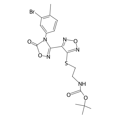 Cc1ccc(-n2c(-c3nonc3SCCNC(=O)OC(C)(C)C)noc2=O)cc1Br